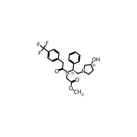 COC(=O)CN(C(=O)Cc1ccc(C(F)(F)F)cc1)[C@H](CN1CC[C@H](O)C1)c1ccccc1